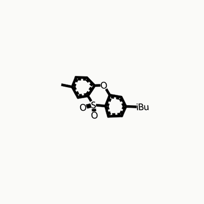 CCC(C)c1ccc2c(c1)Oc1ccc(C)cc1S2(=O)=O